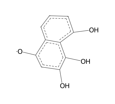 [O]c1cc(O)c(O)c2c(O)cccc12